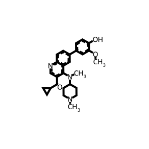 COc1cc(-c2ccc3ncc(C(=O)C4CC4)c(N(C)C4CCN(C)CC4)c3c2)ccc1O